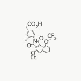 CCOc1cc2cccc(OCC(F)(F)F)c2c2c1C(=O)N(c1ccc(CC(=O)O)cc1F)C2=O